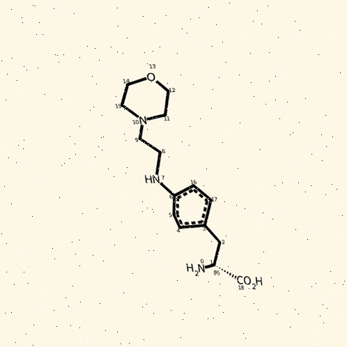 N[C@H](Cc1ccc(NCCN2CCOCC2)cc1)C(=O)O